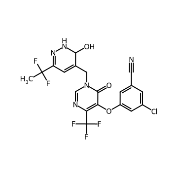 CC(F)(F)C1=NNC(O)C(Cn2cnc(C(F)(F)F)c(Oc3cc(Cl)cc(C#N)c3)c2=O)=C1